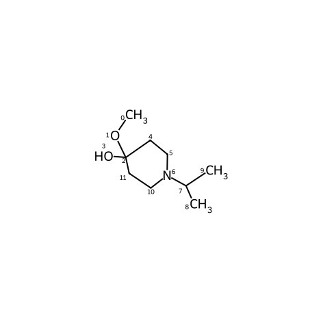 COC1(O)CCN(C(C)C)CC1